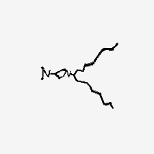 CCCCCCCC(CCCCCCC)N1CC(N(C)C)C1